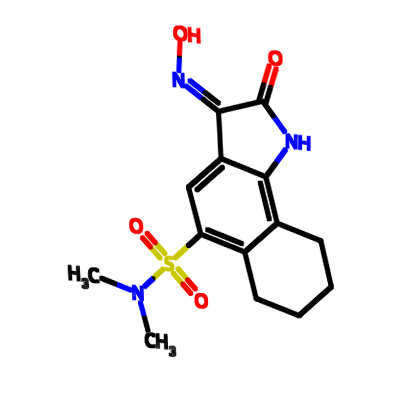 CN(C)S(=O)(=O)c1cc2c(c3c1CCCC3)NC(=O)C2=NO